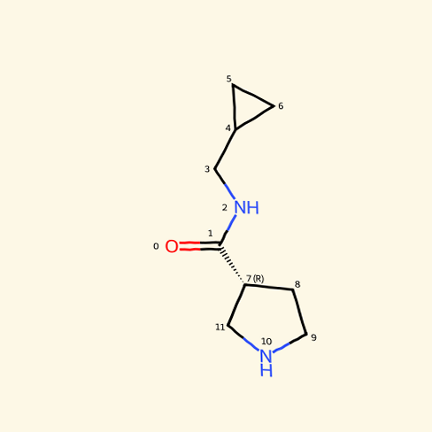 O=C(NCC1CC1)[C@@H]1CCNC1